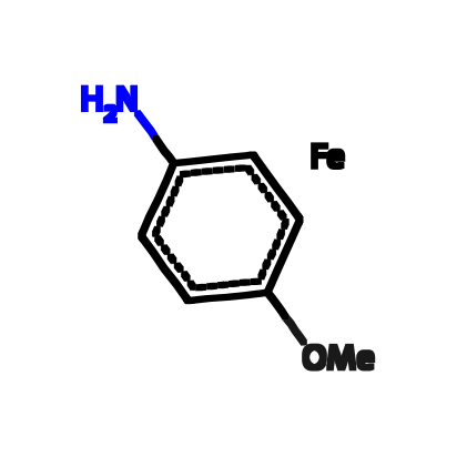 COc1ccc(N)cc1.[Fe]